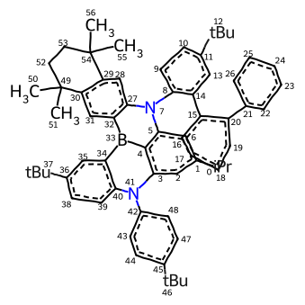 CC(C)c1cc2c3c(c1)N(c1ccc(C(C)(C)C)cc1-c1ccccc1-c1ccccc1)c1cc4c(cc1B3c1cc(C(C)(C)C)ccc1N2c1ccc(C(C)(C)C)cc1)C(C)(C)CCC4(C)C